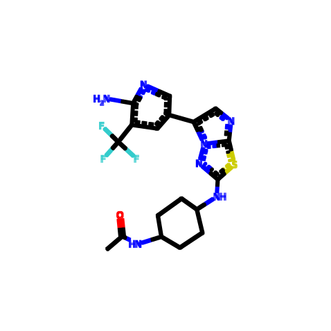 CC(=O)NC1CCC(Nc2nn3c(-c4cnc(N)c(C(F)(F)F)c4)cnc3s2)CC1